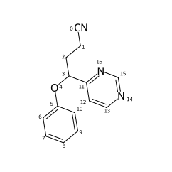 N#CCCC(Oc1ccccc1)c1ccncn1